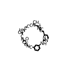 CN1CCCNC(=O)CN2CCN(CC2=O)Cc2cccc(c2)Nc2nccc(n2)-c2ccc1nc2